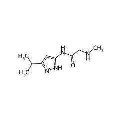 CNCC(=O)Nc1cc(C(C)C)n[nH]1